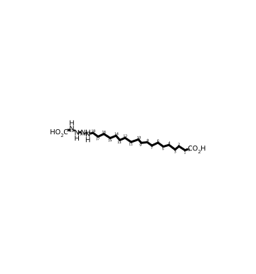 O=C(O)CCCCCCCCCCCCCCCCCCNNNNC(=O)O